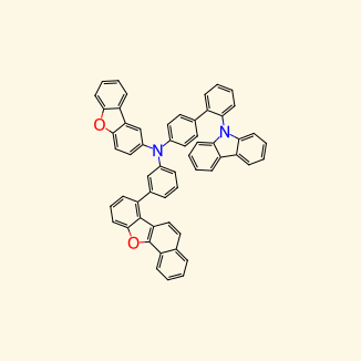 c1cc(-c2cccc3oc4c5ccccc5ccc4c23)cc(N(c2ccc(-c3ccccc3-n3c4ccccc4c4ccccc43)cc2)c2ccc3oc4ccccc4c3c2)c1